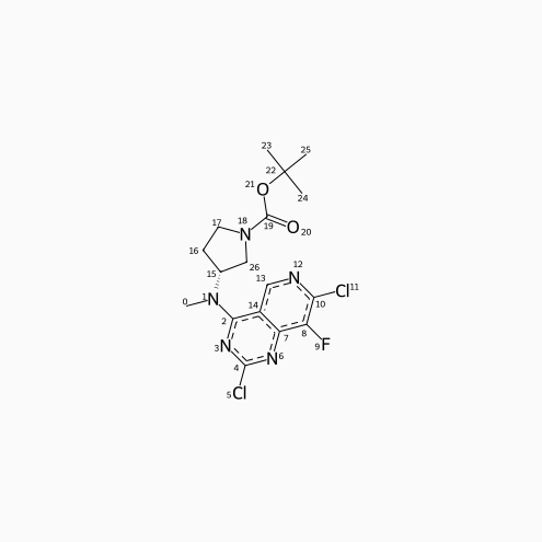 CN(c1nc(Cl)nc2c(F)c(Cl)ncc12)[C@@H]1CCN(C(=O)OC(C)(C)C)C1